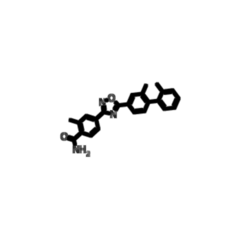 Cc1cc(-c2noc(-c3ccc(-c4ccccc4C)c(C)c3)n2)ccc1C(N)=O